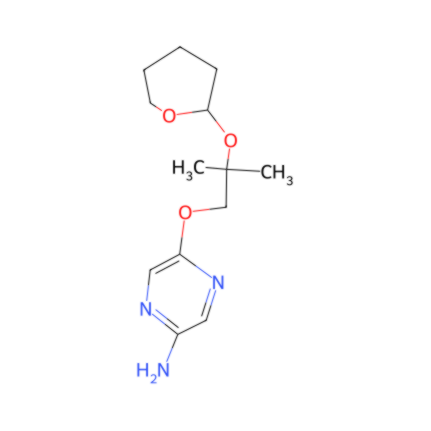 CC(C)(COc1cnc(N)cn1)OC1CCCCO1